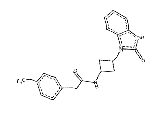 O=C(Cc1ccc(C(F)(F)F)cc1)NC1CC(n2c(=O)[nH]c3ccccc32)C1